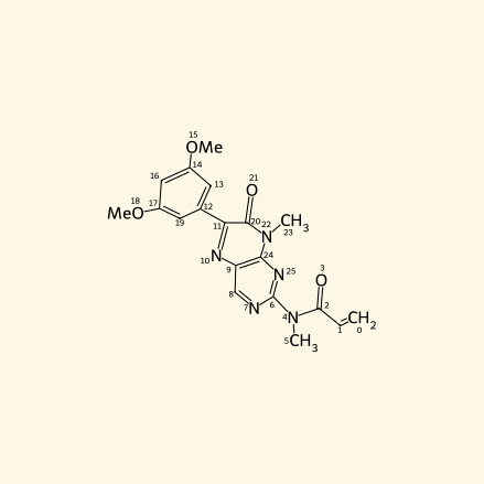 C=CC(=O)N(C)c1ncc2nc(-c3cc(OC)cc(OC)c3)c(=O)n(C)c2n1